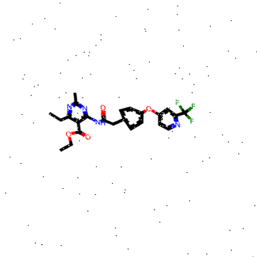 CCOC(=O)c1c(CC)nc(C)nc1NC(=O)Cc1ccc(Oc2ccnc(C(F)(F)F)c2)cc1